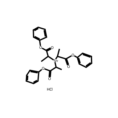 C[CH](C(=O)Oc1ccccc1)[Sn]([CH](C)C(=O)Oc1ccccc1)[CH](C)C(=O)Oc1ccccc1.Cl